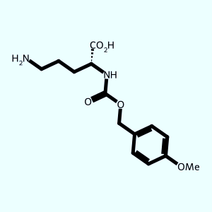 COc1ccc(COC(=O)N[C@H](CCCN)C(=O)O)cc1